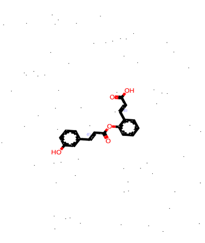 O=C(O)/C=C/c1ccccc1OC(=O)/C=C/c1cccc(O)c1